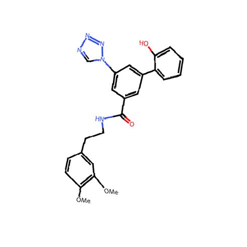 COc1ccc(CCNC(=O)c2cc(-c3ccccc3O)cc(-n3cnnn3)c2)cc1OC